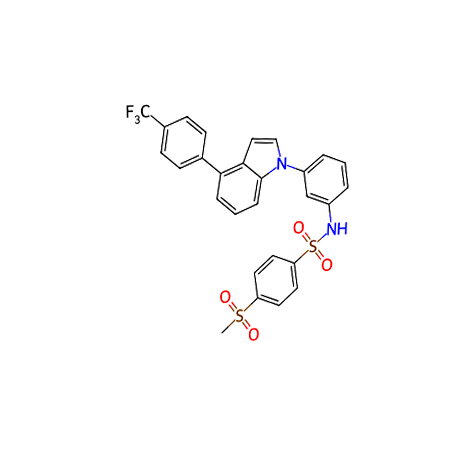 CS(=O)(=O)c1ccc(S(=O)(=O)Nc2cccc(-n3ccc4c(-c5ccc(C(F)(F)F)cc5)cccc43)c2)cc1